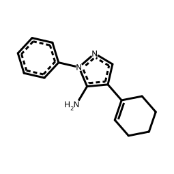 Nc1c(C2=CCCCC2)cnn1-c1ccccc1